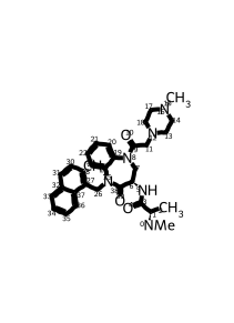 CN[C@@H](C)C(=O)N[C@H]1CN(C(=O)CN2CCN(C)CC2)c2ccccc2N(Cc2c(C)ccc3ccccc23)C1=O